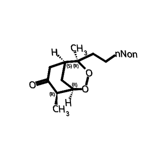 CCCCCCCCCCC[C@@]1(C)OO[C@@H]2C[C@H]1CC(=O)[C@@H]2C